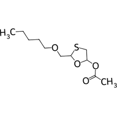 CCCCCOCC1OC(OC(C)=O)CS1